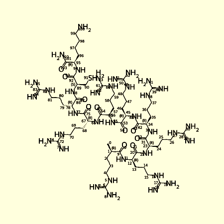 C[C@H](CCCNC(=N)N)C(=O)N[C@H](CCCNC(=N)N)C(=O)N[C@H](CCCNC(=N)N)C(=O)N[C@H](CCCNC(=N)N)C(=O)N[C@H](CCCNC(=N)N)C(=O)N[C@H](CCCNC(=N)N)C(=O)N[C@H](CCCNC(=N)N)C(=O)N[C@H](CCCNC(=N)N)C(=O)N[C@H](CS)C(=O)N[C@H](CCCCN)C(N)=O